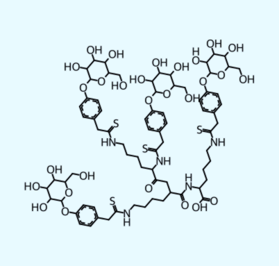 O=C(NC(CCCCNC(=S)Cc1ccc(OC2OC(CO)C(O)C(O)C2O)cc1)C(=O)O)C(CCCCNC(=S)Cc1ccc(OC2OC(CO)C(O)C(O)C2O)cc1)CC(=O)C(CCCCNC(=S)Cc1ccc(OC2OC(CO)C(O)C(O)C2O)cc1)NC(=S)Cc1ccc(OC2OC(CO)C(O)C(O)C2O)cc1